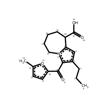 CCCc1cc2n(c1C(=O)c1ccc(C)o1)CCCCC2C(=O)O